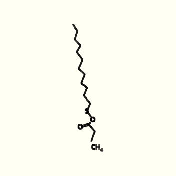 C.CCCCCCCCCCCCSOC(=O)CC